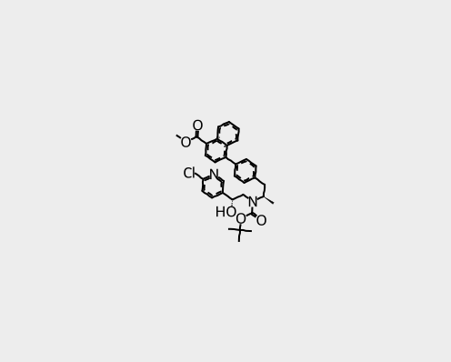 COC(=O)c1ccc(-c2ccc(C[C@@H](C)N(C[C@H](O)c3ccc(Cl)nc3)C(=O)OC(C)(C)C)cc2)c2ccccc12